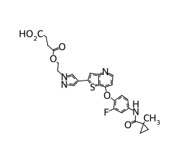 CC1(C(=O)Nc2ccc(Oc3ccnc4cc(-c5cnn(CCOC(=O)CCC(=O)O)c5)sc34)c(F)c2)CC1